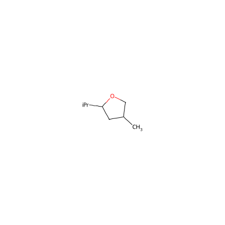 CC1COC(C(C)C)C1